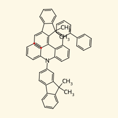 CC1(C)c2ccccc2-c2ccc(N(c3ccccc3)c3cccc(-c4ccccc4-c4ccccc4)c3-c3cccc4c3C(C)(C)c3ccccc3-4)cc21